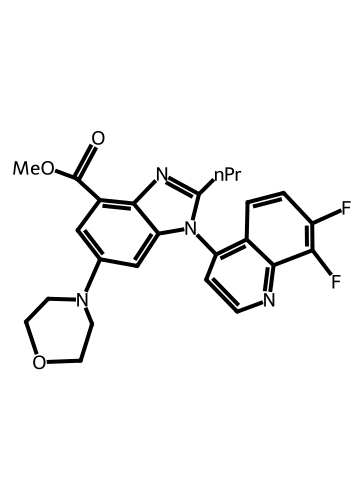 CCCc1nc2c(C(=O)OC)cc(N3CCOCC3)cc2n1-c1ccnc2c(F)c(F)ccc12